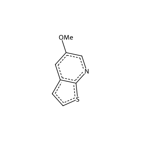 COc1cnc2sccc2c1